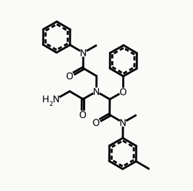 Cc1cccc(N(C)C(=O)C(Oc2ccccc2)N(CC(=O)N(C)c2ccccc2)C(=O)CN)c1